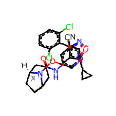 N#Cc1cncc(NC(=O)N2C3CC[C@H]2CC(OCc2c(-c4c(Cl)cccc4Cl)noc2C2CC2)C3)c1